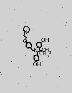 CC1(C)c2cc(O)ccc2N(Cc2ccc(OCCN3CCCCC3)cc2)C1c1ccc(O)cc1